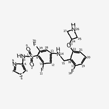 O=S(=O)(Nc1cscn1)c1c(F)cc(NCc2c(F)cccc2OC2CNC2)cc1F